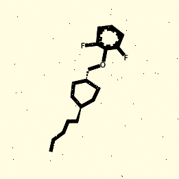 CCCCC[C@H]1CC[C@H](COc2c(F)cccc2F)CC1